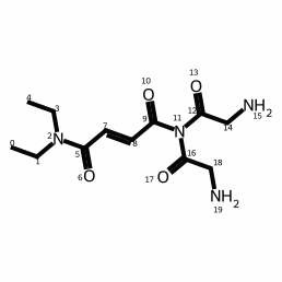 CCN(CC)C(=O)/C=C/C(=O)N(C(=O)CN)C(=O)CN